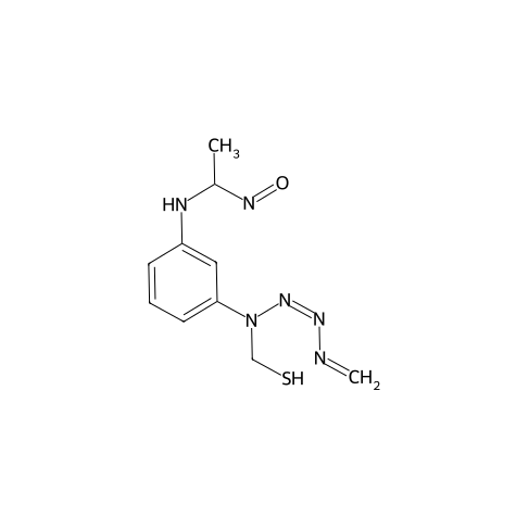 C=N/N=N\N(CS)c1cccc(NC(C)N=O)c1